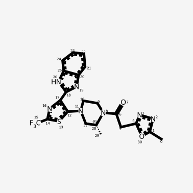 Cc1nnc(CC(=O)N2CCN(c3sc(C(F)(F)F)nc3-c3nc4ccccc4[nH]3)C[C@H]2C)o1